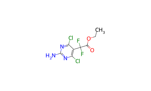 CCOC(=O)C(F)(F)c1c(Cl)nc(N)nc1Cl